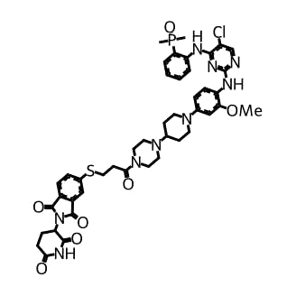 COc1cc(N2CCC(N3CCN(C(=O)CCSc4ccc5c(c4)C(=O)N(C4CCC(=O)NC4=O)C5=O)CC3)CC2)ccc1Nc1ncc(Cl)c(Nc2ccccc2P(C)(C)=O)n1